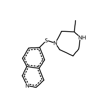 CC1CN(Sc2ccc3cnccc3c2)CCCN1